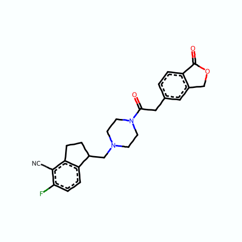 N#Cc1c(F)ccc2c1CCC2CN1CCN(C(=O)Cc2ccc3c(c2)COC3=O)CC1